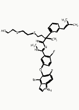 CN/C(=N\C(=N)C(C)(CCSCCSCCO)c1cccc(C=C(C)C)c1)c1cc(Oc2c(F)cc3[nH]ccc3c2Br)ccc1F